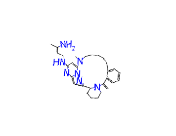 C=C1c2ccccc2CCCCCN(C)c2cc(NCCC(C)N)nc3cc(nn23)C2CCCCN12